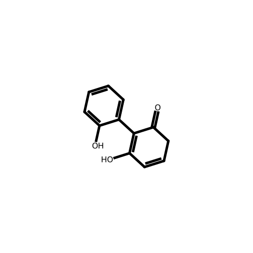 O=C1CC=CC(O)=C1c1ccccc1O